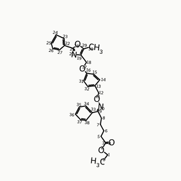 CCOC(=O)CCCC/C(=N/OCc1ccc(OCc2nc(-c3ccccc3)oc2C)cc1)c1ccccc1